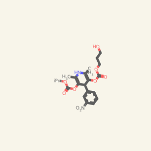 CC1=C(OC(=O)OCCCO)C(c2cccc([N+](=O)[O-])c2)C(OC(=O)OC(C)C)=C(C)N1